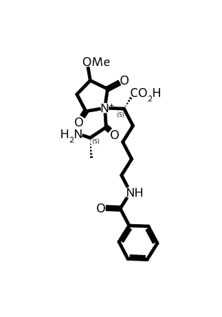 COC1CC(=O)[N+](C(=O)[C@H](C)N)([C@@H](CCCCNC(=O)c2ccccc2)C(=O)O)C1=O